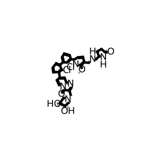 COc1nc(-c2cccc(-c3cccc(-c4ccn5c(=O)c(CN6C[C@@H](O)[C@H](O)C6)cnc5c4)c3Cl)c2Cl)ccc1CNCC1CCC(=O)N1